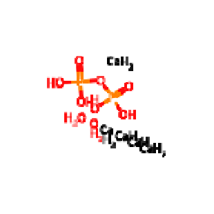 O.O.O=P(O)(O)OP(=O)(O)O.[CaH2].[CaH2].[CaH2].[CaH2].[CaH2]